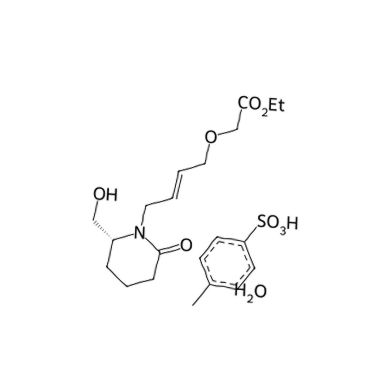 CCOC(=O)COCC=CCN1C(=O)CCC[C@@H]1CO.Cc1ccc(S(=O)(=O)O)cc1.O